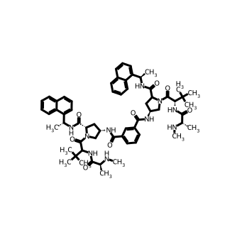 CN[C@@H](C)C(=O)NC(C(=O)N1C[C@@H](NC(=O)c2cccc(C(=O)N[C@H]3CC(C(=O)N[C@H](C)c4cccc5ccccc45)N(C(=O)[C@@H](NC(=O)[C@H](C)NC)C(C)(C)C)C3)c2)C[C@H]1C(=O)N[C@H](C)c1cccc2ccccc12)C(C)(C)C